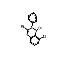 CCC1=Cc2cccc(Cl)c2C(O)N1c1ccccc1